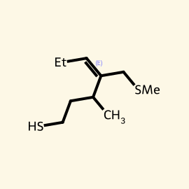 CC/C=C(/CSC)C(C)CCS